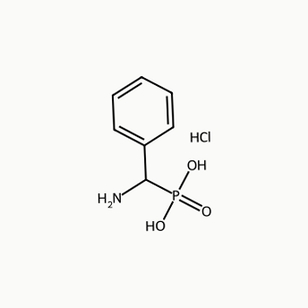 Cl.NC(c1ccccc1)P(=O)(O)O